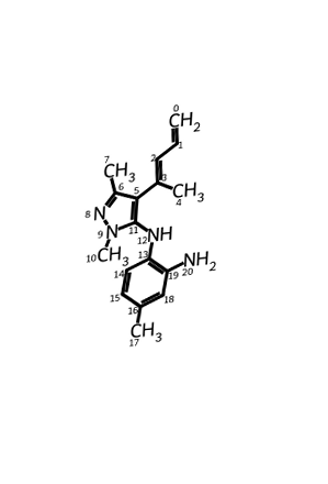 C=C/C=C(\C)c1c(C)nn(C)c1Nc1ccc(C)cc1N